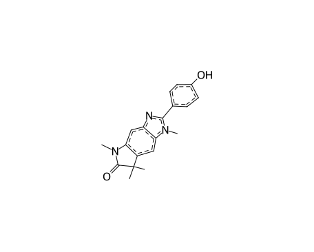 CN1C(=O)C(C)(C)c2cc3c(cc21)nc(-c1ccc(O)cc1)n3C